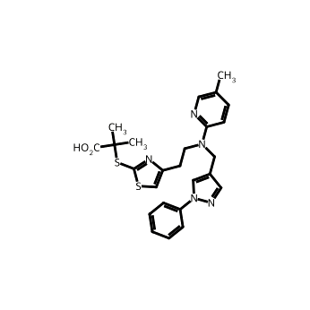 Cc1ccc(N(CCc2csc(SC(C)(C)C(=O)O)n2)Cc2cnn(-c3ccccc3)c2)nc1